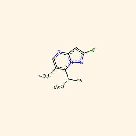 CO[C@H](c1c(C(=O)O)cnc2cc(Cl)nn12)C(C)C